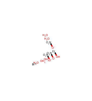 CCO.O.O.O.O.O.O=[N+]([O-])[O-].O=[N+]([O-])[O-].O=[N+]([O-])[O-].[Bi+3]